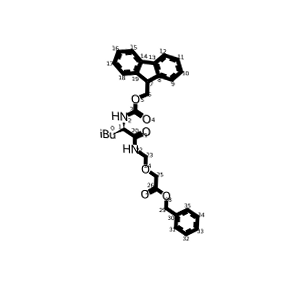 CC[C@H](C)[C@H](NC(=O)OCC1c2ccccc2-c2ccccc21)C(=O)NCOCC(=O)OCc1ccccc1